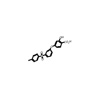 Cc1ccc(S(=O)(=O)c2cccc(Oc3ccc(C(=O)O)c(O)c3)c2)cc1